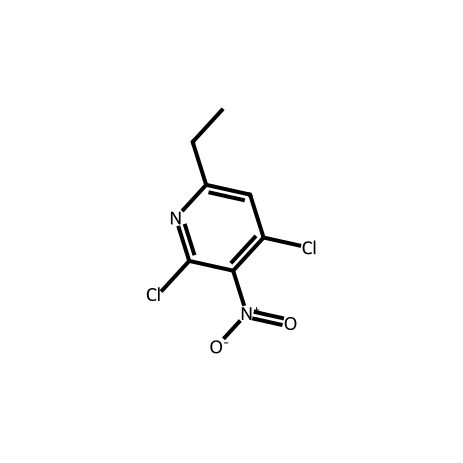 CCc1cc(Cl)c([N+](=O)[O-])c(Cl)n1